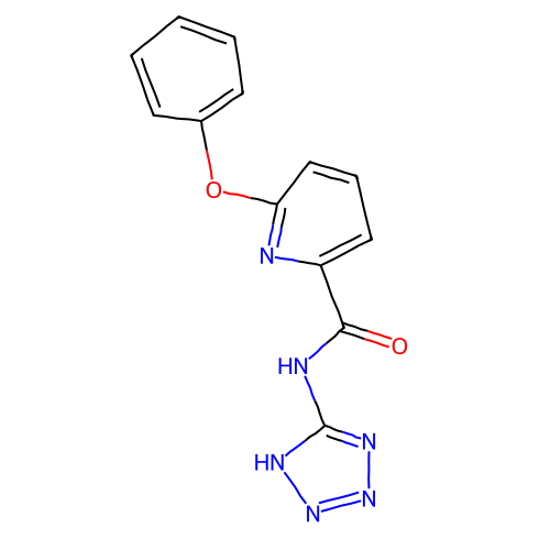 O=C(Nc1nnn[nH]1)c1cccc(Oc2ccccc2)n1